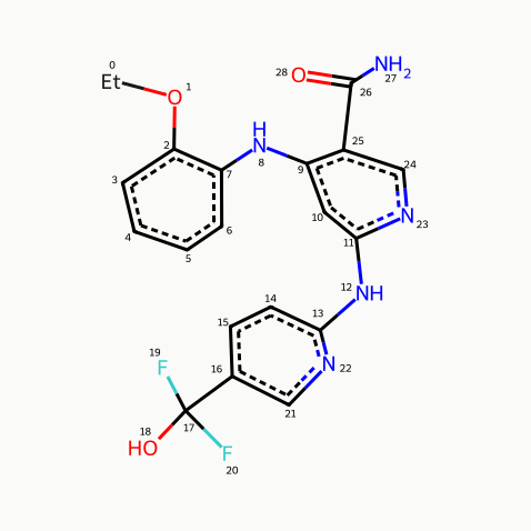 CCOc1ccccc1Nc1cc(Nc2ccc(C(O)(F)F)cn2)ncc1C(N)=O